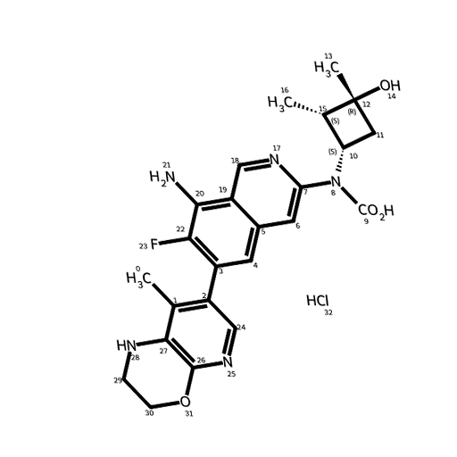 Cc1c(-c2cc3cc(N(C(=O)O)[C@H]4C[C@@](C)(O)[C@H]4C)ncc3c(N)c2F)cnc2c1NCCO2.Cl